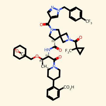 C[C@@H](OCC12CCC(CC1)OC2)[C@H](NC(=O)[C@@H]1CN(C(=O)c2cnn(Cc3ccc(C(F)(F)F)cc3)c2)CC12CN(C(=O)C1(C(F)(F)F)CC1)C2)C(=O)N1CCC(c2ccccc2C(=O)O)CC1